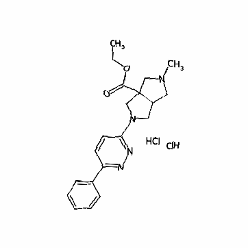 CCOC(=O)C12CN(C)CC1CN(c1ccc(-c3ccccc3)nn1)C2.Cl.Cl